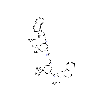 CCN1C2=CCc3ccccc3C2S/C1=C\C1=CC(=C/C=C/C2=CC(=C/c3sc4c5ccccc5ccc4[n+]3CC)/CC(C)(C)C2)/CC(C)(C)C1